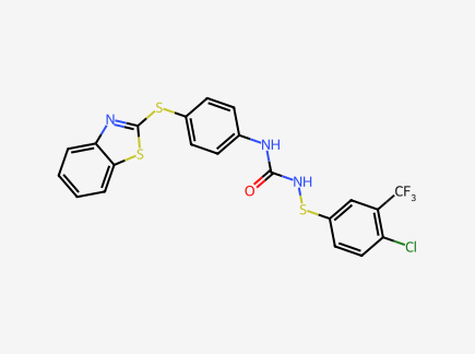 O=C(NSc1ccc(Cl)c(C(F)(F)F)c1)Nc1ccc(Sc2nc3ccccc3s2)cc1